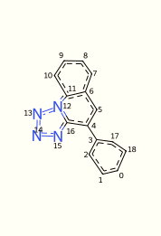 c1ccc(-c2cc3ccccc3n3nnnc23)cc1